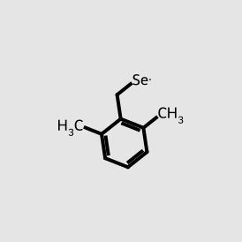 Cc1cccc(C)c1C[Se]